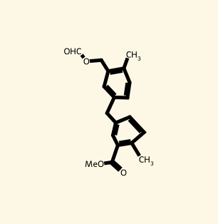 COC(=O)c1cc(Cc2ccc(C)c(COC=O)c2)ccc1C